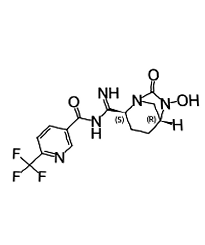 N=C(NC(=O)c1ccc(C(F)(F)F)nc1)[C@@H]1CC[C@@H]2CN1C(=O)N2O